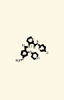 CSc1ccc(C(=O)Nc2cccnc2C(=O)Nc2ccc(Cl)cn2)c(OC2CCNCC2)c1